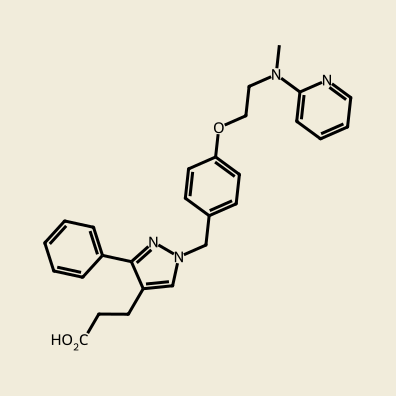 CN(CCOc1ccc(Cn2cc(CCC(=O)O)c(-c3ccccc3)n2)cc1)c1ccccn1